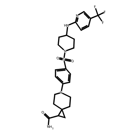 NC(=O)C1CC12CCN(c1ccc(S(=O)(=O)N3CCC(Nc4ccc(C(F)(F)F)cn4)CC3)cc1)CC2